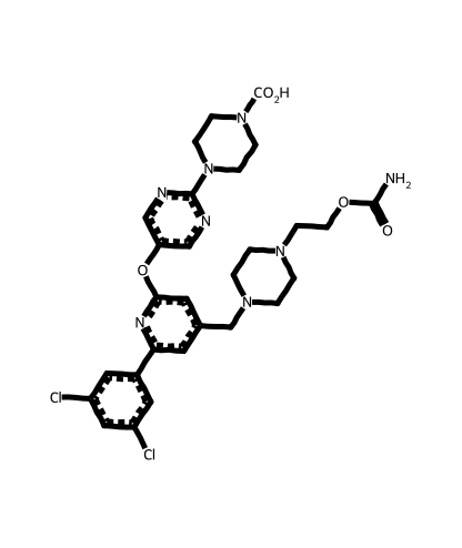 NC(=O)OCCN1CCN(Cc2cc(Oc3cnc(N4CCN(C(=O)O)CC4)nc3)nc(-c3cc(Cl)cc(Cl)c3)c2)CC1